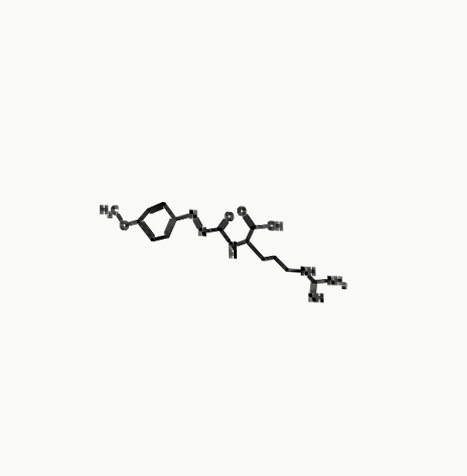 COc1ccc(/N=N/C(=O)NC(CCCNC(=N)N)C(=O)O)cc1